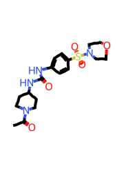 CC(=O)N1CCC(NC(=O)Nc2ccc(S(=O)(=O)N3CCOCC3)cc2)CC1